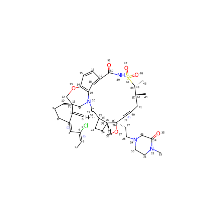 C=C1/C(=C\C(Cl)=C/C)CCC[C@]12COc1ccc3cc1N(C[C@@H]1CC[C@H]1[C@](CCN1CCN(C)C(=O)C1)(OC)/C=C/C[C@H](C)[C@@H](C)S(=O)(=O)NC3=O)C2